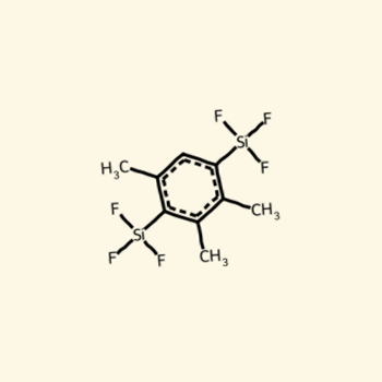 Cc1cc([Si](F)(F)F)c(C)c(C)c1[Si](F)(F)F